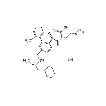 CCC(CC1CCCCC1)NCc1ccc(C(=O)N[C@@H](CCSC)C(=O)O)c(-c2ccccc2C)c1.[LiH]